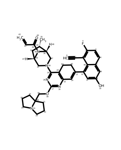 C#Cc1c(F)ccc2cc(O)cc(C3=Cc4nc(OCC56CCCN5CCC6)nc(N5C[C@@H]6C[C@H](C)[C@H](C5)N6C(=O)C=C)c4CC3)c12